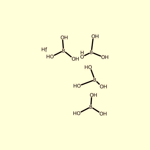 OB(O)O.OB(O)O.OB(O)O.OB(O)O.[Hf]